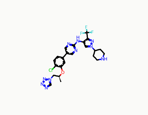 C[C@@H](Cn1cnnn1)Oc1cc(-c2cnc(Nc3cn(C4CCNCC4)nc3C(F)(F)F)nc2)ccc1Cl